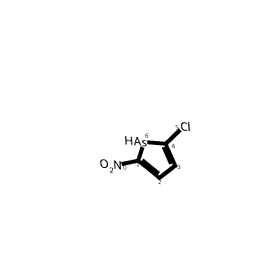 O=[N+]([O-])C1=CC=C(Cl)[AsH]1